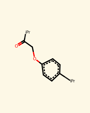 CC(C)C(=O)COc1ccc(C(C)C)cc1